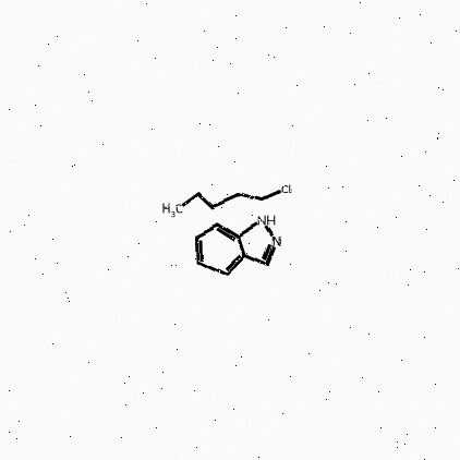 CCCCCCl.c1ccc2[nH]ncc2c1